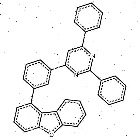 c1ccc(-c2cc(-c3cccc(-c4cccc5oc6ccccc6c45)c3)nc(-c3ccccc3)n2)cc1